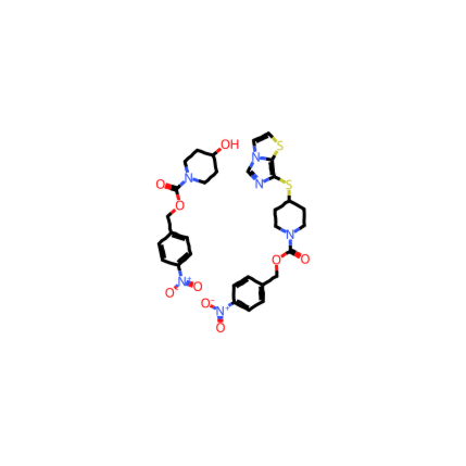 O=C(OCc1ccc([N+](=O)[O-])cc1)N1CCC(O)CC1.O=C(OCc1ccc([N+](=O)[O-])cc1)N1CCC(Sc2ncn3ccsc23)CC1